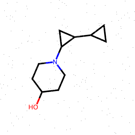 OC1CCN(C2CC2C2CC2)CC1